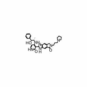 C[C@H](Nc1cc[nH]c(=O)c1-c1nc2cc3c(cc2[nH]1)C(=O)N(CCCN1CCCC1)C3)[C@@H](O)c1ccccc1